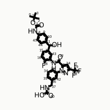 CC(C)(C)OC(=O)Nc1ccc(C(O)c2ccc(F)c(NC(=O)c3cc(C(F)(F)F)nn3-c3cccc(CNC(=O)O)c3)c2)cc1